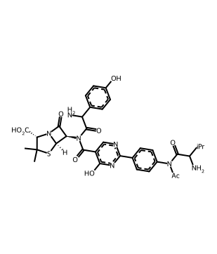 CC(=O)N(C(=O)C(N)C(C)C)c1ccc(-c2ncc(C(=O)N(C(=O)C(N)c3ccc(O)cc3)[C@@H]3C(=O)N4[C@@H]3SC(C)(C)[C@@H]4C(=O)O)c(O)n2)cc1